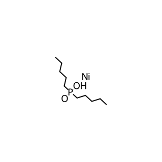 CCCCCP(=O)(O)CCCCC.[Ni]